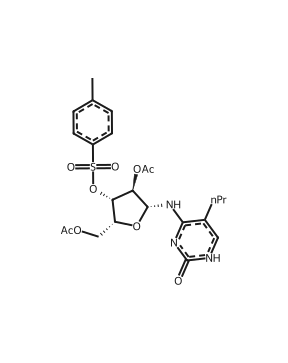 CCCc1c[nH]c(=O)nc1N[C@@H]1O[C@H](COC(C)=O)[C@H](OS(=O)(=O)c2ccc(C)cc2)[C@H]1OC(C)=O